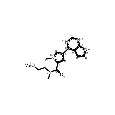 COCCN(C)C(=O)c1cc(-c2ncnc3[nH]ccc23)cn1C